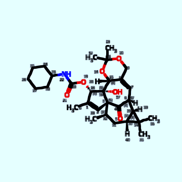 CC1=C[C@]23C(=O)[C@@H](C=C4COC(C)(C)O[C@H]4[C@]2(O)[C@H]1OC(=O)NC1CCCCC1)[C@H]1[C@@H](C[C@H]3C)C1(C)C